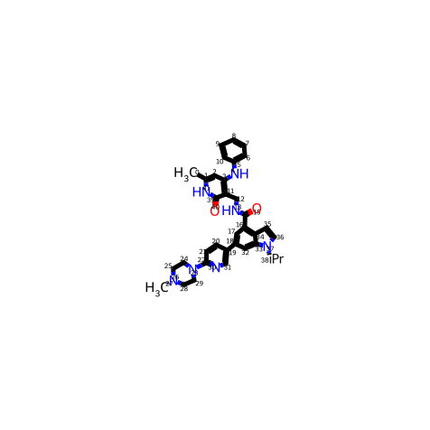 Cc1cc(Nc2ccccc2)c(CNC(=O)c2cc(-c3ccc(N4CCN(C)CC4)nc3)cc3c2ccn3C(C)C)c(=O)[nH]1